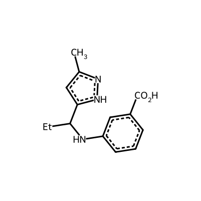 CCC(Nc1cccc(C(=O)O)c1)c1cc(C)n[nH]1